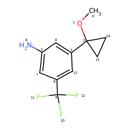 COC1(c2cc(N)cc(C(F)(F)F)c2)CC1